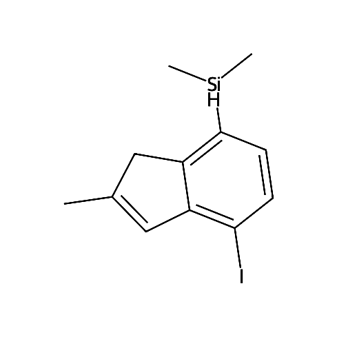 CC1=Cc2c(I)ccc([SiH](C)C)c2C1